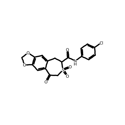 O=C1CS(=O)(=O)C(C(=O)Nc2ccc(Cl)cc2)Cc2cc3c(cc21)OCO3